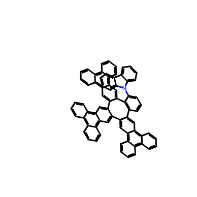 c1cc2c(c(-n3c4ccccc4c4ccccc43)c1)-c1cc3c4ccccc4c4ccccc4c3cc1-c1cc3c4ccccc4c4ccccc4c3cc1-c1cc3c4ccccc4c4ccccc4c3cc1-2